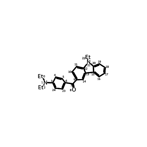 CCN(CC)c1ccc(C(=O)c2ccc3c(c2)c2ccccc2n3CC)cc1